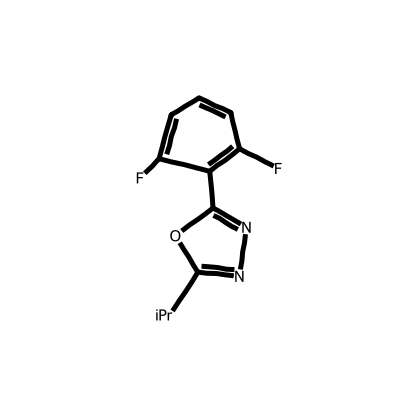 CC(C)c1nnc(-c2c(F)cccc2F)o1